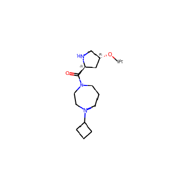 CC(C)O[C@H]1CN[C@H](C(=O)N2CCCN(C3CCC3)CC2)C1